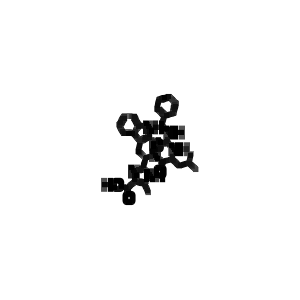 Cc1[nH]c([C@@H](Cc2c[nH]c3ccccc23)NC(=O)C(CC(C)C)NC(=O)NCc2ccccc2)nc1C(=O)O